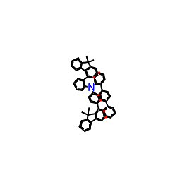 CC1(C)c2ccccc2-c2c(-c3ccccc3N(c3ccc(-c4cccc5c4C(C)(C)c4ccccc4-5)cc3)c3ccccc3-c3ccc(-c4ccccc4)cc3)cccc21